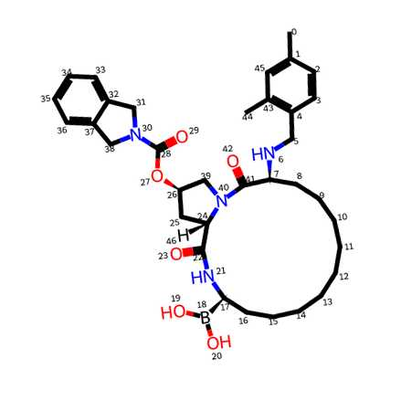 Cc1ccc(CN[C@H]2CCCCCCCCC[C@@H](B(O)O)NC(=O)[C@@H]3C[C@@H](OC(=O)N4Cc5ccccc5C4)CN3C2=O)c(C)c1